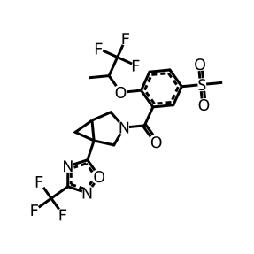 CC(Oc1ccc(S(C)(=O)=O)cc1C(=O)N1CC2CC2(c2nc(C(F)(F)F)no2)C1)C(F)(F)F